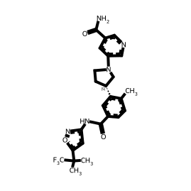 Cc1ccc(C(=O)Nc2cc(C(C)(C)C(F)(F)F)on2)cc1[C@@H]1CCN(c2cncc(C(N)=O)c2)C1